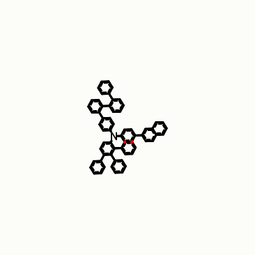 c1ccc(-c2ccccc2-c2ccccc2-c2ccc(N(c3ccc(-c4ccc5ccccc5c4)cc3)c3ccc(-c4ccccc4)c(-c4ccccc4)c3-c3ccccc3)cc2)cc1